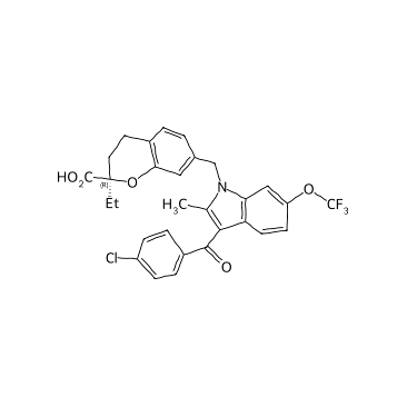 CC[C@]1(C(=O)O)CCc2ccc(Cn3c(C)c(C(=O)c4ccc(Cl)cc4)c4ccc(OC(F)(F)F)cc43)cc2O1